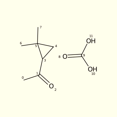 CC(=O)C1CC1(C)C.O=C(O)O